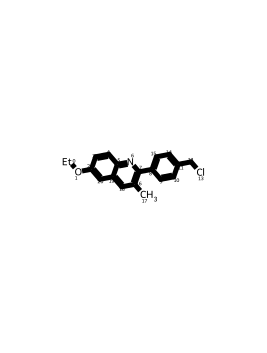 CCOc1ccc2nc(-c3ccc(CCl)cc3)c(C)cc2c1